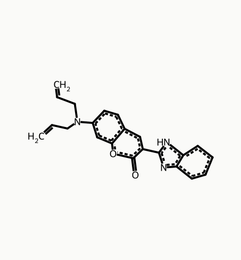 C=CCN(CC=C)c1ccc2cc(-c3nc4ccccc4[nH]3)c(=O)oc2c1